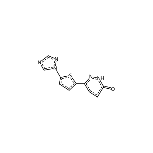 O=c1ccc(-c2ccc(-n3cncn3)s2)n[nH]1